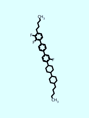 CCCCCc1ccc(-c2ccc(-c3ccc(C4CCC(C5CCC(CCCCC)CC5)CC4)c(F)c3)cc2)c(F)c1F